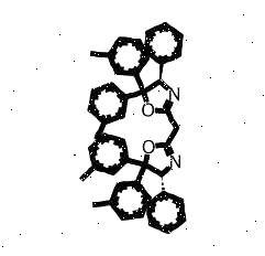 Cc1cccc(C2(c3cccc(C)c3)OC(CC3=N[C@H](c4ccccc4)C(c4cccc(C)c4)(c4cccc(C)c4)O3)=N[C@@H]2c2ccccc2)c1